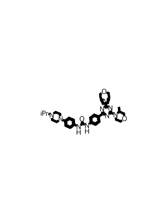 CC(C)N1CCN(c2ccc(NC(=O)Nc3ccc(-c4nc(N5CCOCC5C)nc(N5C6CCC5COC6)n4)cc3)cc2)CC1